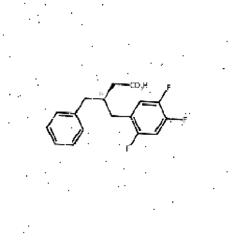 O=C(O)C[C@H](Cc1ccccc1)Cc1cc(F)c(F)cc1F